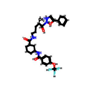 C[C@@H](CCCNC(=O)C1CCCC(NC(=O)c2ccc(OC(F)(F)F)cc2)C1)C(=O)N1NC=C(c2ccccc2)O1